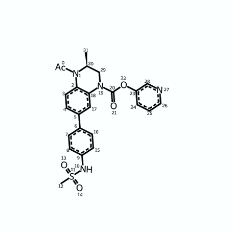 CC(=O)N1c2ccc(-c3ccc(NS(C)(=O)=O)cc3)cc2N(C(=O)Oc2cccnc2)C[C@@H]1C